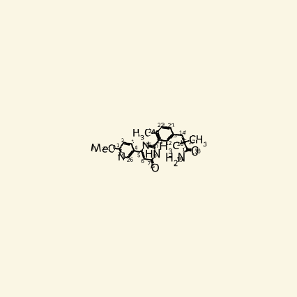 COc1ccc(-c2cc(=O)[nH]c(-c3cc(CC(C)(C)C(N)=O)ccc3C)n2)cn1